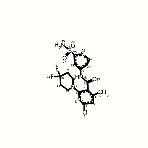 Cc1cc(Cl)nc(N2CCC(F)(F)CC2)c1C(=O)Nc1ccnc(S(N)(=O)=O)c1